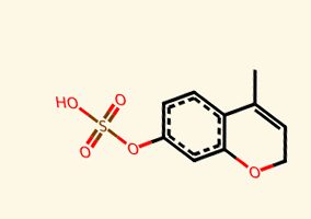 CC1=CCOc2cc(OS(=O)(=O)O)ccc21